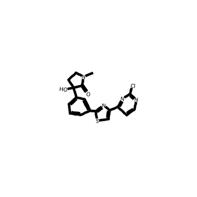 CN1CCC(O)(c2cccc(-c3nc(-c4ccnc(Cl)n4)cs3)c2)C1=O